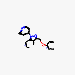 C=C/C(=C\C)OCc1nn(-c2ccncc2)c(/C=C\C)c1C